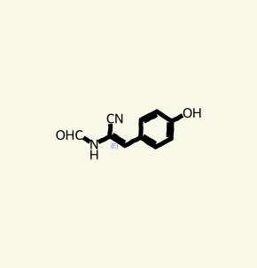 N#C/C(=C\c1ccc(O)cc1)NC=O